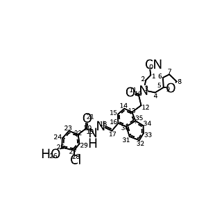 N#CCCN(CC1CCCO1)C(=O)Cc1ccc(/C=N/NC(=O)c2ccc(O)c(Cl)c2)c2ccccc12